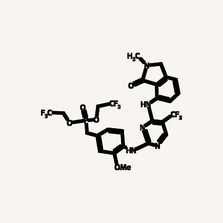 COc1cc(CP(=O)(OCC(F)(F)F)OCC(F)(F)F)ccc1Nc1ncc(C(F)(F)F)c(Nc2cccc3c2C(=O)N(C)C3)n1